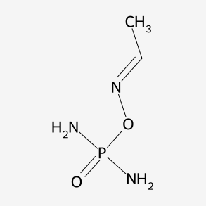 CC=NOP(N)(N)=O